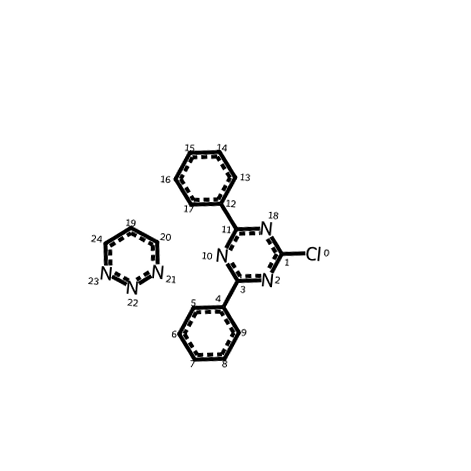 Clc1nc(-c2ccccc2)nc(-c2ccccc2)n1.c1cnnnc1